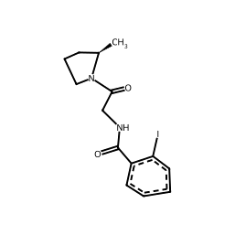 C[C@@H]1CCCN1C(=O)CNC(=O)c1ccccc1I